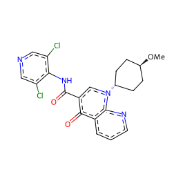 CO[C@H]1CC[C@H](n2cc(C(=O)Nc3c(Cl)cncc3Cl)c(=O)c3cccnc32)CC1